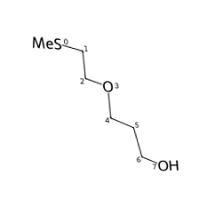 CSCCOCCCO